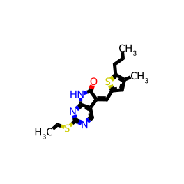 CCCc1sc(C=C2C(=O)Nc3nc(SCC)ncc32)cc1C